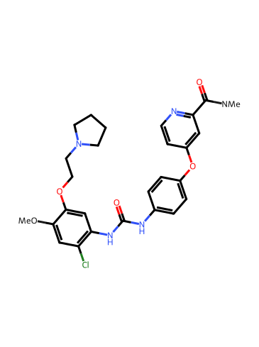 CNC(=O)c1cc(Oc2ccc(NC(=O)Nc3cc(OCCN4CCCC4)c(OC)cc3Cl)cc2)ccn1